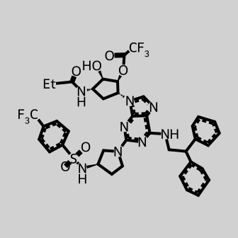 CCC(=O)N[C@H]1C[C@@H](n2cnc3c(NCC(c4ccccc4)c4ccccc4)nc(N4CC[C@@H](NS(=O)(=O)c5ccc(C(F)(F)F)cc5)C4)nc32)[C@H](OC(=O)C(F)(F)F)[C@@H]1O